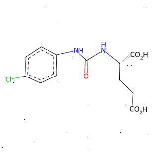 O=C(O)CC[C@H](NC(=O)Nc1ccc(Cl)cc1)C(=O)O